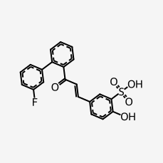 O=C(C=Cc1ccc(O)c(S(=O)(=O)O)c1)c1ccccc1-c1cccc(F)c1